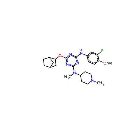 COc1ccc(Nc2nc(OC3CC4CCC3C4)nc(N(C)C3CCN(C)CC3)n2)cc1F